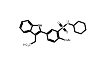 COc1ccc(-c2[nH]c3ccccc3c2CC(=O)O)cc1S(=O)(=O)NC1CCCCC1